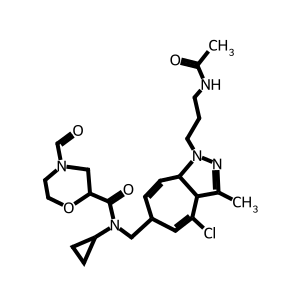 CC(=O)NCCCN1N=C(C)C2C(Cl)=CC(CN(C(=O)C3CN(C=O)CCO3)C3CC3)C=CC21